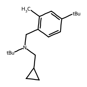 Cc1cc(C(C)(C)C)ccc1CN(CC1CC1)C(C)(C)C